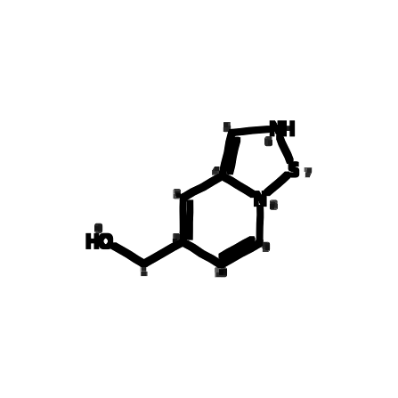 OCC1=CC2=CNSN2C=C1